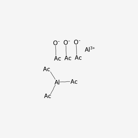 CC(=O)[O-].CC(=O)[O-].CC(=O)[O-].C[C](=O)[Al]([C](C)=O)[C](C)=O.[Al+3]